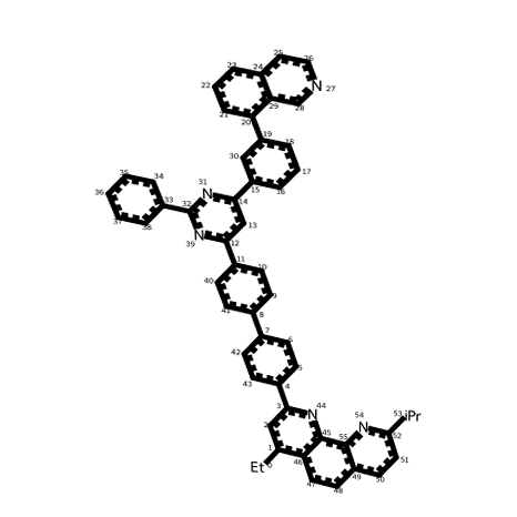 CCc1cc(-c2ccc(-c3ccc(-c4cc(-c5cccc(-c6cccc7ccncc67)c5)nc(-c5ccccc5)n4)cc3)cc2)nc2c1ccc1ccc(C(C)C)nc12